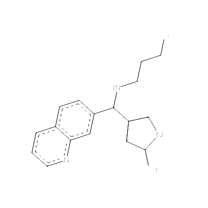 CCCCNC(c1ccc2cccnc2c1)C1CNC(C)C1